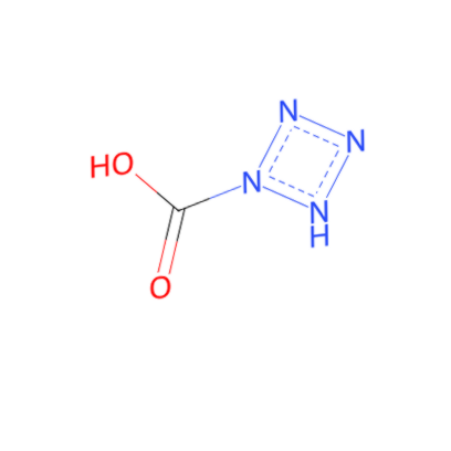 O=C(O)n1nn[nH]1